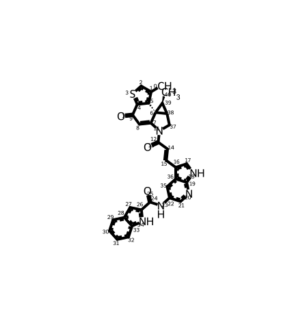 Cc1csc2c1[C@@]13C(=CC2=O)N(C(=O)/C=C/c2c[nH]c4ncc(NC(=O)c5cc6ccccc6[nH]5)cc24)CC1[C@@H]3C